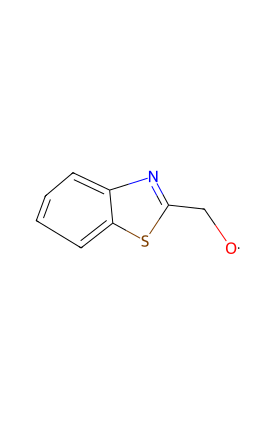 [O]Cc1nc2ccccc2s1